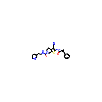 N#Cc1c(NC(=O)C2CC2c2ccccc2)sc2c1CCN(C(=O)NCCc1cccnc1)C2